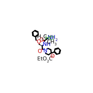 CCOC(=O)OC1(c2ccccc2)CCN(C(=O)[C@@H](COCc2ccccc2)NC(=O)C(C)(C)N)CC1.Cl